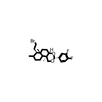 CC1CCC2[C@]3(C)CO[C@@H](c4ccc(F)c(F)c4)O[C@@H]3CC[C@@]2(C)[C@@H]1CCBr